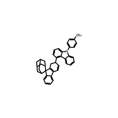 CC(C)(C)c1ccc(-n2c3ccccc3c3c(C4C=CC5=C(C4)C4(c6ccccc65)C5CC6CC(C5)CC4C6)cccc32)cc1